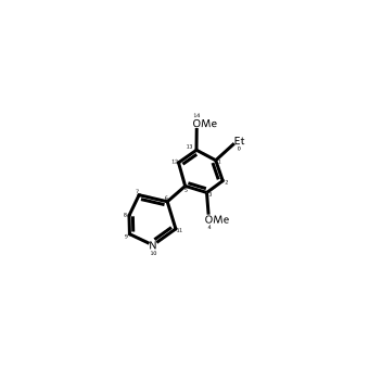 CCc1cc(OC)c(-c2cccnc2)cc1OC